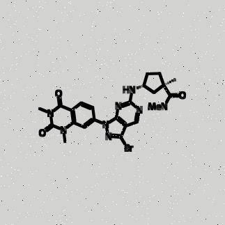 CNC(=O)[C@]1(C)CC[C@@H](Nc2ncc3c(Br)nn(-c4ccc5c(=O)n(C)c(=O)n(C)c5c4)c3n2)C1